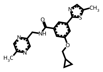 Cc1cnc(CNC(=O)c2cc(OCC3CC3)cc(-c3ncc(C)s3)c2)cn1